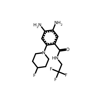 Nc1cc(C(=O)NCC(F)(F)F)c(N2CCC(F)CC2)cc1N